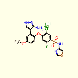 Cl.Cl.Nc1n[nH]cc1-c1cc(OC(F)(F)F)ccc1Oc1cc(F)c(S(=O)(=O)Nc2cscn2)cc1Cl